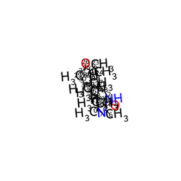 Cc1cc2c(c(C)n1)C(=O)NC21CC[C@]2(C)[C@H]3CC[C@@H]4C5=C(C(C)C)C(=O)C[C@]5(C)CC[C@@]4(C)[C@]3(C)CC[C@H]2C1(C)C